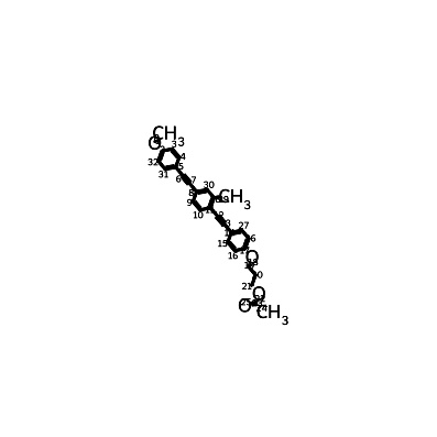 COc1ccc(C#Cc2ccc(C#Cc3ccc(OCCCOC(C)=O)cc3)c(C)c2)cc1